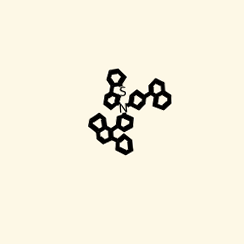 c1ccc(-c2ccc3ccccc3c2-c2cccc(N(c3ccc(-c4cccc5ccccc45)cc3)c3cccc4c3sc3ccccc34)c2)cc1